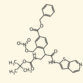 CC(C)(C)OC(=O)NCC(C(=O)Nc1cc2ccncc2s1)c1ccc(C(=O)OCc2ccccc2)cc1CO[N+](=O)[O-]